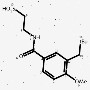 COc1ccc(C(=O)NCCS(=O)(=O)O)cc1CC(C)(C)C